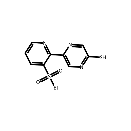 CCS(=O)(=O)c1cccnc1-c1cnc(S)cn1